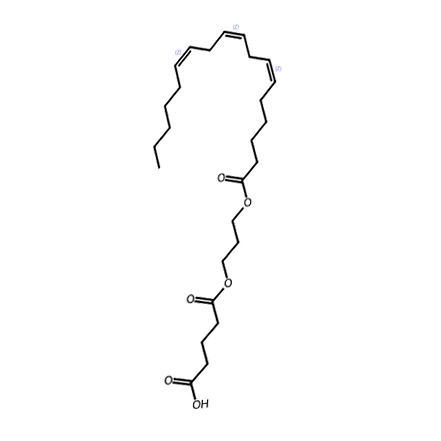 CCCCC/C=C\C/C=C\C/C=C\CCCCC(=O)OCCCOC(=O)CCCC(=O)O